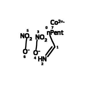 CCCCCC=N.O=[N+]([O-])[O-].O=[N+]([O-])[O-].[Co+2]